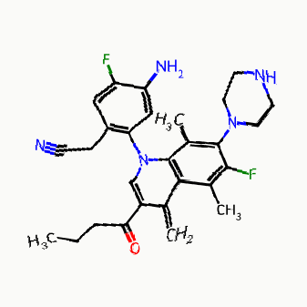 C=C1C(C(=O)CCC)=CN(c2cc(N)c(F)cc2CC#N)c2c(C)c(N3CCNCC3)c(F)c(C)c21